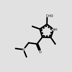 Cc1[nH]c(C=O)c(C)c1C(=O)CN(C)C